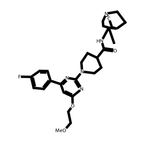 COCCOc1cc(-c2ccc(F)cc2)nc(N2CCC(C(=O)NC3(C)CCN4CCC3CC4)CC2)n1